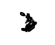 CC(CN(C)C(=O)OC(C)(C)C)c1ccc([N+](=O)[O-])cc1